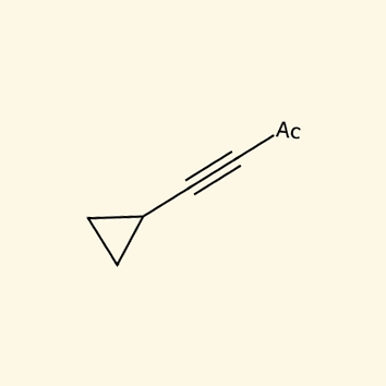 CC(=O)C#CC1CC1